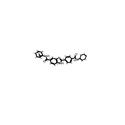 O=C(NC1CCCCC1)c1ccc(-c2nc3cc(C(=O)NC4CC5CCC4CC5)ccc3[nH]2)cc1